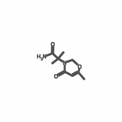 CC1=CC(=O)N(C(C)(C)C(N)=O)CO1